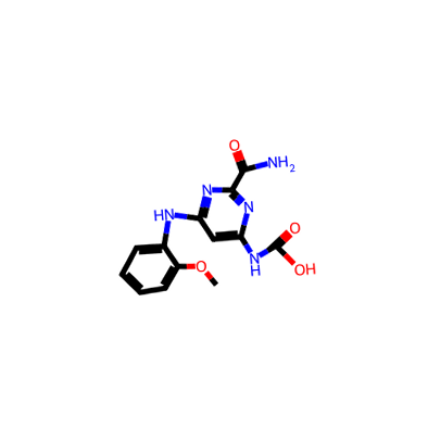 COc1ccccc1Nc1cc(NC(=O)O)nc(C(N)=O)n1